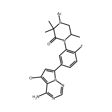 CC(=O)N1CC(C)N(c2cc(-c3cc(Cl)c4c(N)ncnn34)ccc2F)C(=O)C1(C)C